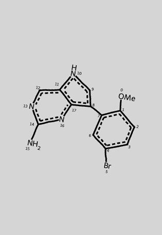 COc1ccc(Br)cc1-c1c[nH]c2cnc(N)nc12